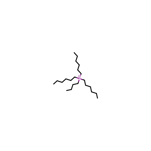 CCCCCC[PH](CCCC)(CCCCCC)CCCCCC